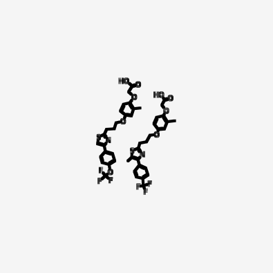 Cc1cc(OCCCc2nc(-c3ccc(C(F)(F)F)cc3)c(C)s2)ccc1OCC(=O)O.Cc1cc(OCCCc2nc(-c3ccc(OC(F)(F)F)cc3)cs2)ccc1OCC(=O)O